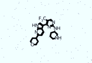 FC(F)(F)c1cnc(N[C@H]2CCCNC2)nc1-c1c[nH]c2nc(C3CCOCC3)ccc12